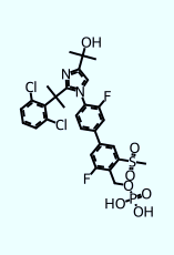 CC(C)(O)c1cn(-c2ccc(-c3cc(F)c(COP(=O)(O)O)c(S(C)(=O)=O)c3)cc2F)c(C(C)(C)c2c(Cl)cccc2Cl)n1